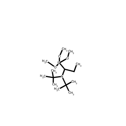 CCC(N(C(C)(C)C)C(C)(C)C)[Si](OC)(OC)OC